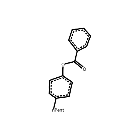 CCCCCc1ccc(OC(=O)c2ccccc2)cc1